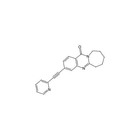 O=c1c2ccc(C#Cc3ccccn3)cc2nc2n1CCCCC2